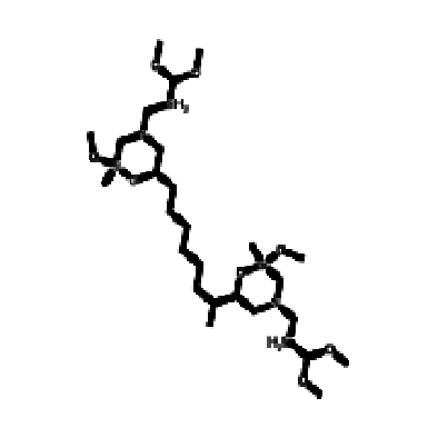 COC(OC)[SiH2]CN1CC(CCCCCCC(C)C2CN(C[SiH2]C(OC)OC)C[Si](C)(OC)O2)O[Si](C)(OC)C1